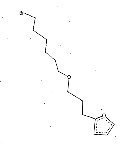 BrCCCCCCOCCCc1ccco1